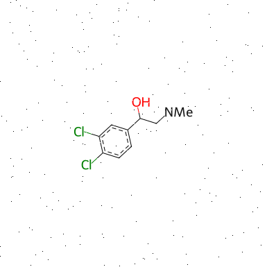 CNCC(O)c1ccc(Cl)c(Cl)c1